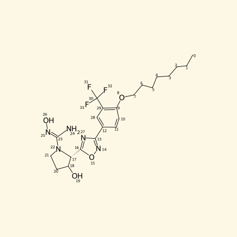 CCCCCCCCOc1ccc(-c2noc([C@@H]3C(O)CCN3/C(N)=N/O)n2)cc1C(F)(F)F